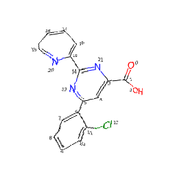 O=C(O)c1cc(-c2ccccc2Cl)nc(-c2ccccn2)n1